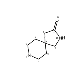 O=C1CC2(CC[N]CC2)CN1